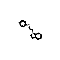 [c]1ccc(OCCn2ccc3ccccc32)cc1